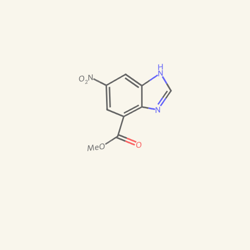 COC(=O)c1cc([N+](=O)[O-])cc2[nH]cnc12